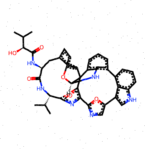 CC(C)[C@H](O)C(=O)N[C@H]1Cc2ccc3c(c2)C24c5cccc(c5N[C@H]2O3)-c2cccc3[nH]cc(c23)-c2cnc(o2)-c2nc(oc24)[C@H](C(C)C)NC1=O